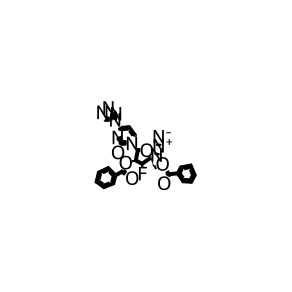 [N-]=[N+]=N[C@]1(COC(=O)c2ccccc2)O[C@@H](n2ccc(-n3cnnn3)nc2=O)[C@H](OC(=O)c2ccccc2)[C@@H]1F